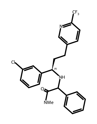 CNC(=O)C(N[C@H](CCc1ccc(C(F)(F)F)nc1)c1cccc(Cl)c1)c1ccccc1